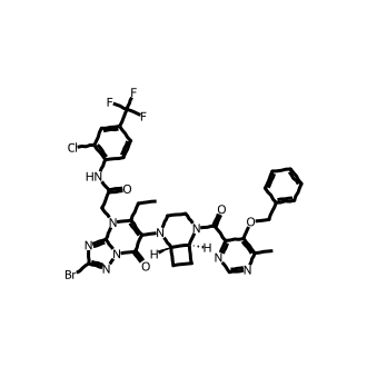 CCc1c(N2CCN(C(=O)c3ncnc(C)c3OCc3ccccc3)[C@H]3CC[C@@H]32)c(=O)n2nc(Br)nc2n1CC(=O)Nc1ccc(C(F)(F)F)cc1Cl